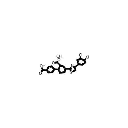 COC(=O)c1cc(-c2nc(-c3ccc(Cl)c(Cl)c3)cs2)ccc1-c1ccc(C(=O)O)cc1